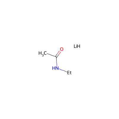 CCNC(C)=O.[LiH]